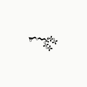 C[Si](C)(C)O[Si](C)(C)O[Si](C)(CCCOCC1CO1)O[Si](C)(C)O[Si](C)(C)C